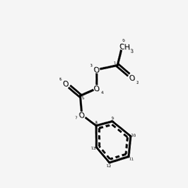 CC(=O)OOC(=O)Oc1ccccc1